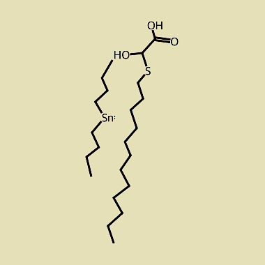 CCCCCCCCCCCCSC(O)C(=O)O.CCC[CH2][Sn][CH2]CCC